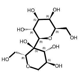 OC[C@H]1O[C@@H]([C@]2(O)[C@H](O)[C@@H](O)[CH]O[C@@H]2CO)[C@H](O)[C@@H](O)[C@H]1O